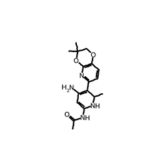 CC(=O)NC1=CC(N)=C(c2ccc3c(n2)OC(C)(C)CO3)C(C)N1